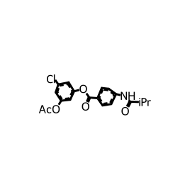 CC(=O)Oc1cc(Cl)cc(OC(=O)c2ccc(NC(=O)C(C)C)cc2)c1